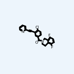 O=C(c1ccc(Cl)c(C#Cc2ccccn2)c1)N1CCc2c(F)ccc(F)c2C1